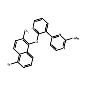 CSc1nccc(-c2cccnc2Oc2c(C)ccc3c(Br)cccc23)n1